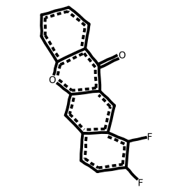 O=c1c2ccccc2oc2cc3ccc(F)c(F)c3cc12